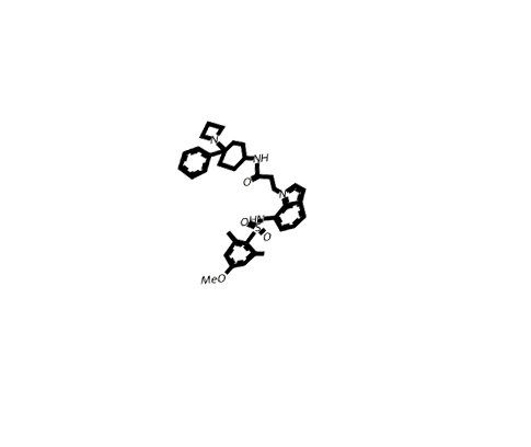 COc1cc(C)c(S(=O)(=O)Nc2cccc3ccn(CCC(=O)NC4CCC(c5ccccc5)(N5CCC5)CC4)c23)c(C)c1